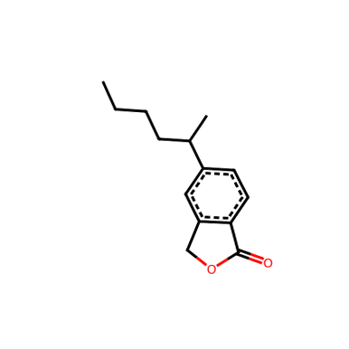 CCCCC(C)c1ccc2c(c1)COC2=O